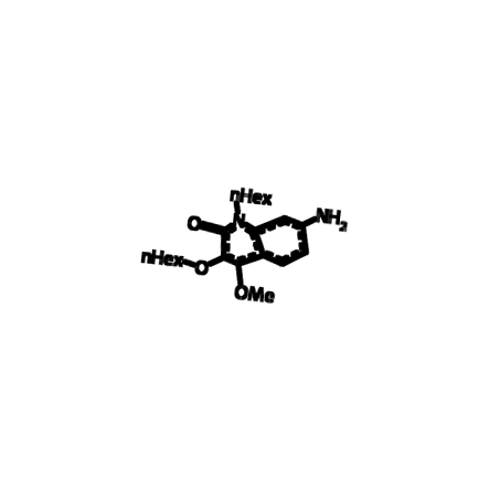 CCCCCCOc1c(OC)c2ccc(N)cc2n(CCCCCC)c1=O